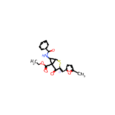 CCOC(=O)C12C(=O)/C(=C/c3ccc(C)o3)SC1C2NC(=O)c1ccccc1